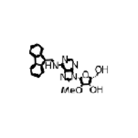 CO[C@@H]1[C@H](O)[C@@H](CO)O[C@H]1n1cnc2c(NCC3c4ccccc4-c4ccccc43)ncnc21